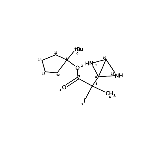 CC(C)(C)C1(OC(=O)C(C)(I)C23NC2N3)CCCC1